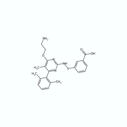 Cc1cccc(C)c1-c1nc(NSc2cccc(C(=O)O)c2)nc(OCCN)c1C